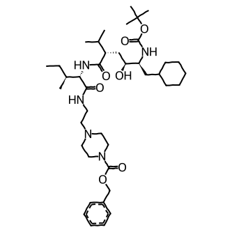 CC[C@H](C)[C@H](NC(=O)[C@@H](C[C@H](O)[C@H](CC1CCCCC1)NC(=O)OC(C)(C)C)C(C)C)C(=O)NCCN1CCN(C(=O)OCc2ccccc2)CC1